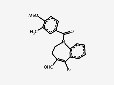 COc1ccc(C(=O)N2CCC(C=O)=C(Br)c3ccccc32)cc1C